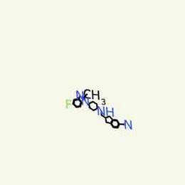 Cc1nc2cc(F)ccc2n1C1CCC(NCC2Cc3ccc(C#N)cc3C2)CC1